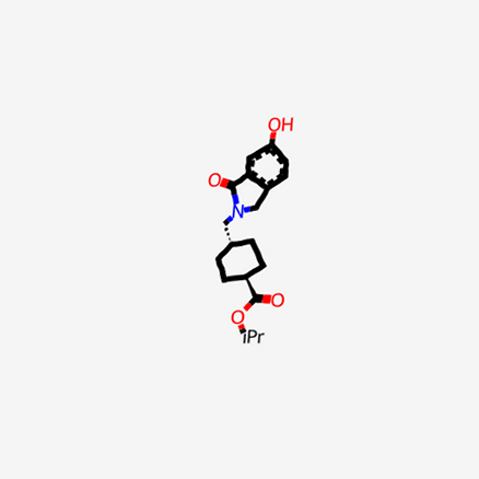 CC(C)OC(=O)[C@H]1CC[C@H](CN2Cc3ccc(O)cc3C2=O)CC1